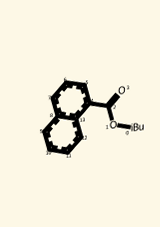 CCC(C)OC(=O)c1cccc2ccccc12